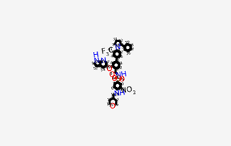 O=C(NS(=O)(=O)c1ccc(NCC2CCOCC2)c([N+](=O)[O-])c1)c1ccc(-c2ccc(N3CCCC3c3ccccc3)c(C(F)(F)F)c2)cc1Oc1cnc2[nH]ccc2c1